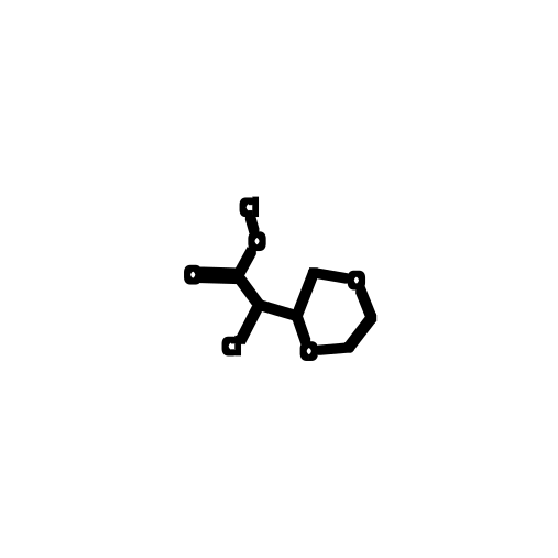 O=C(OCl)C(Cl)C1COCCO1